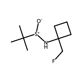 CC(C)(C)[S+]([O-])NC1(CF)CCC1